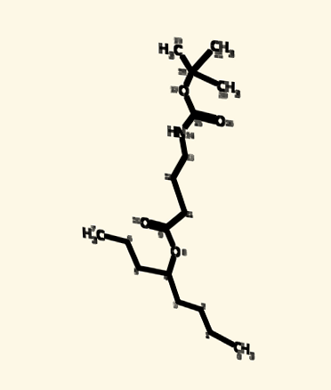 CCCCC(CCC)OC(=O)CCCNC(=O)OC(C)(C)C